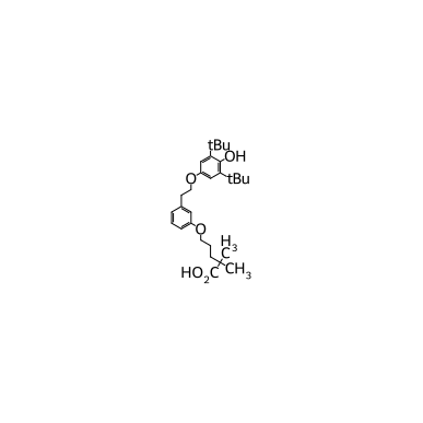 CC(C)(CCCOc1cccc(CCOc2cc(C(C)(C)C)c(O)c(C(C)(C)C)c2)c1)C(=O)O